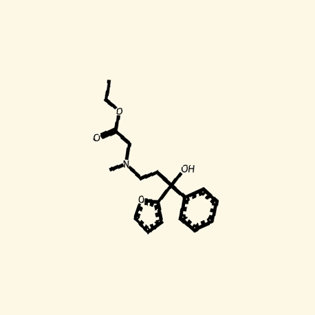 CCOC(=O)CN(C)CCC(O)(c1ccccc1)c1ccco1